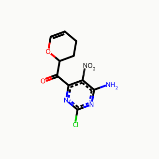 Nc1nc(Cl)nc(C(=O)C2CCC=CO2)c1[N+](=O)[O-]